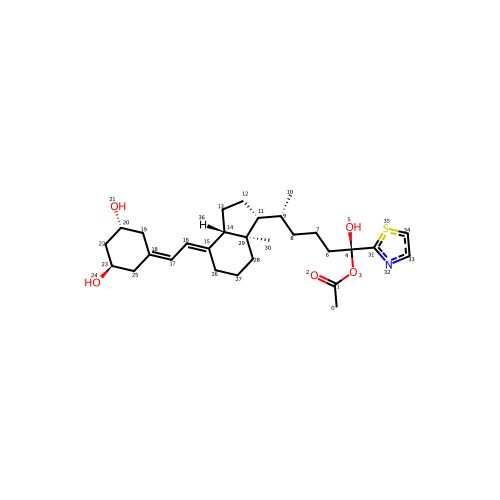 CC(=O)O[C@](O)(CCC[C@@H](C)[C@H]1CC[C@H]2/C(=C/C=C3C[C@@H](O)C[C@H](O)C3)CCC[C@]12C)c1nccs1